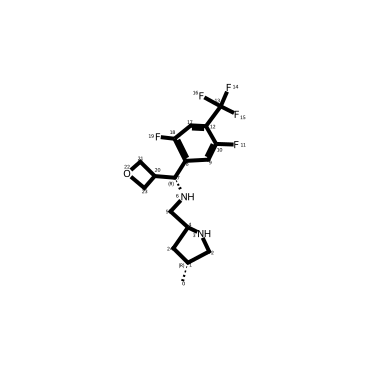 C[C@H]1CNC(CN[C@@H](c2cc(F)c(C(F)(F)F)cc2F)C2COC2)C1